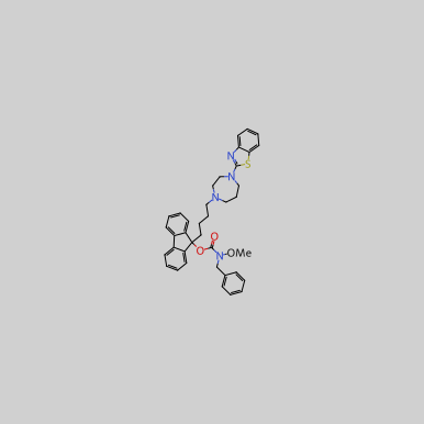 CON(Cc1ccccc1)C(=O)OC1(CCCCN2CCCN(c3nc4ccccc4s3)CC2)c2ccccc2-c2ccccc21